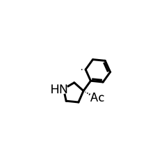 CC(=O)[C@]1(C2=CC=CC[CH]2)CCNC1